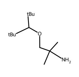 CC(C)(N)COC(C(C)(C)C)C(C)(C)C